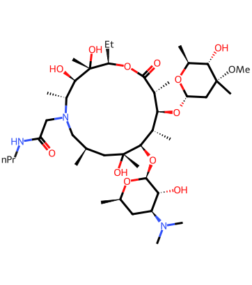 CCCNC(=O)CN1C[C@H](C)C[C@@](C)(O)[C@H](O[C@@H]2O[C@H](C)C[C@H](N(C)C)[C@H]2O)[C@@H](C)[C@H](O[C@H]2C[C@@](C)(OC)[C@@H](O)[C@H](C)O2)[C@@H](C)C(=O)O[C@H](CC)[C@@](C)(O)[C@H](O)[C@H]1C